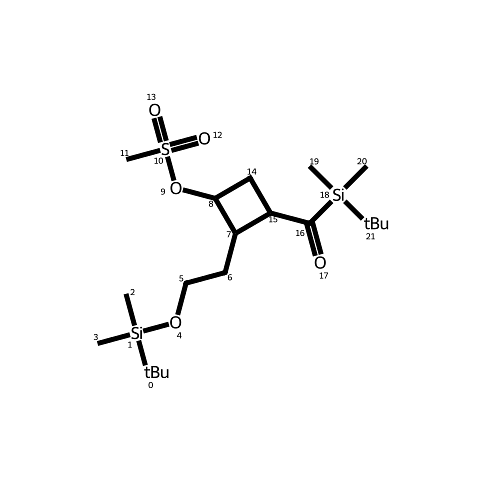 CC(C)(C)[Si](C)(C)OCCC1C(OS(C)(=O)=O)CC1C(=O)[Si](C)(C)C(C)(C)C